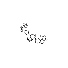 CC1=Cc2cc(-c3cnc(NCc4c(F)ccc5c4[C@H]4C=C4O5)n4cnnc34)ccc2S1(=O)=O